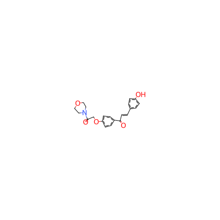 O=C(/C=C/c1ccc(O)cc1)c1ccc(OCC(=O)N2CCOCC2)cc1